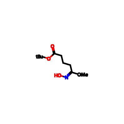 COC(CCCC(=O)OC(C)(C)C)=NO